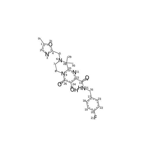 Cc1cnc(CN2CCn3c(nc(C(=O)NCc4ccc(F)cc4)c(O)c3=O)C2(C)C)o1